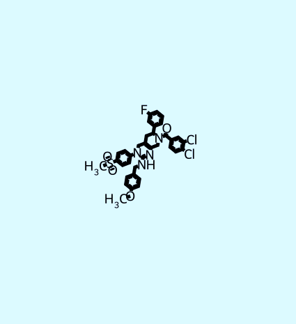 COc1ccc(CNC2=NC3=C(CC(c4cccc(F)c4)N(C(=O)c4ccc(Cl)c(Cl)c4)C3)CN2c2ccc(S(C)(=O)=O)cc2)cc1